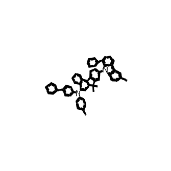 Cc1ccc(N(c2ccc(-c3ccccc3)cc2)c2cc3c(c4ccccc24)-c2ccc(-n4c5ccc(C)cc5c5cccc(-c6ccccc6)c54)cc2C3(C)C)cc1